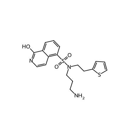 NCCCN(CCc1cccs1)S(=O)(=O)c1cccc2c(O)nccc12